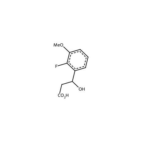 COc1cccc(C(O)CC(=O)O)c1F